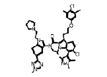 Cc1cc(OCCCc2c3n(c4c(-c5c(C)nn(C)c5C)c(Cl)ccc24)C(C)CN(c2cn(CCN4CCCC4)c4ccc(-c5ncn(C)n5)cc24)C3=O)cc(C)c1Cl